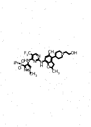 Cc1cc(Nc2ncc(C(F)(F)F)c(Nc3cn(C)nc3S(=O)(=O)C(C)C)n2)c2c(c1C1CCN(CCO)CC1)CC(C)O2